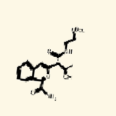 CCCCCCCCCCCCNC(=O)[C@@H](c1cc2ccccc2c(C(N)=O)n1)[C@@H](C)O